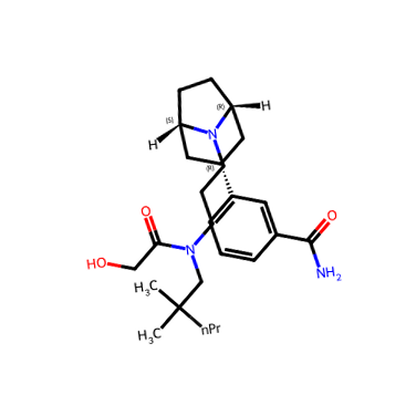 CCCC(C)(C)CN(CCCN1[C@@H]2CC[C@H]1C[C@@H](c1cccc(C(N)=O)c1)C2)C(=O)CO